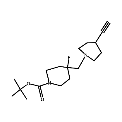 C#CC1CCN(CC2(F)CCN(C(=O)OC(C)(C)C)CC2)CC1